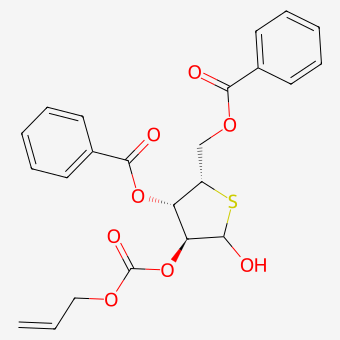 C=CCOC(=O)O[C@@H]1C(O)S[C@@H](COC(=O)c2ccccc2)[C@H]1OC(=O)c1ccccc1